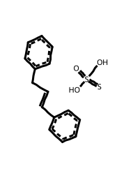 C(=Cc1ccccc1)Cc1ccccc1.O=S(O)(O)=S